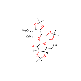 COC(OC)[C@@H]1OC(C)(C)O[C@H]1[C@H](O[C@@H]1O[C@H](COC(C)=O)[C@@H]2OC(C)(C)O[C@@H]2[C@H]1O)[C@H]1COC(C)(C)O1